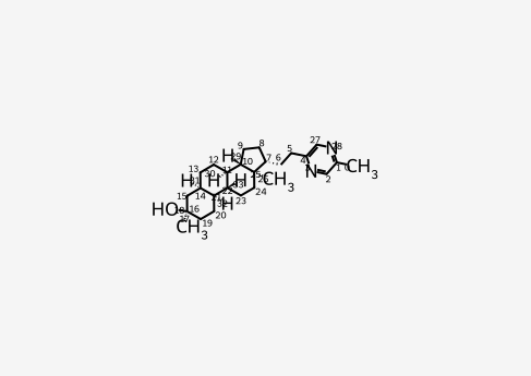 Cc1cnc(CC[C@H]2CC[C@H]3[C@@H]4CC[C@@H]5C[C@](C)(O)CC[C@@H]5[C@H]4CC[C@]23C)cn1